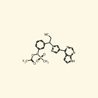 CS(=O)(=O)N(OC(=O)C(F)(F)F)c1cccc(C(CC#N)n2cc(-c3ncnc4[nH]ccc34)cn2)c1